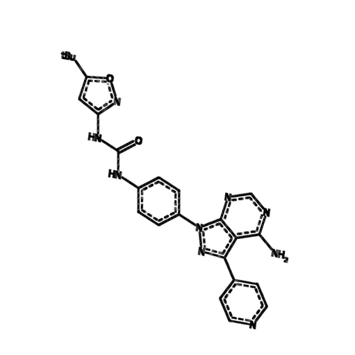 CC(C)(C)c1cc(NC(=O)Nc2ccc(-n3nc(-c4ccncc4)c4c(N)ncnc43)cc2)no1